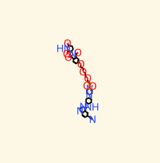 N#Cc1ccc2ncnc(N[C@H]3CC[C@@H](N4CCN(S(=O)(=O)CCOCCOCCOc5ccc6c(c5)C(=O)N(C5CCC(=O)NC5=O)C6=O)CC4)CC3)c2c1